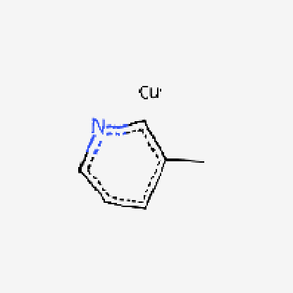 Cc1cccnc1.[Cu]